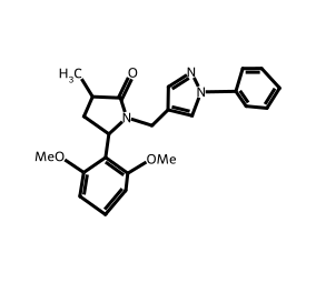 COc1cccc(OC)c1C1CC(C)C(=O)N1Cc1cnn(-c2ccccc2)c1